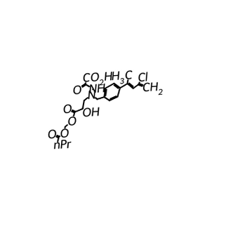 C=C(Cl)/C=C(\C)c1ccc(CN(C[C@@H](O)C(=O)OCOC(=O)CCC)NC(=O)C(=O)O)cc1